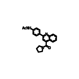 CC(=O)Nc1ccc(-c2cc(C(=O)N3CCCC3)c3ccccc3n2)cc1